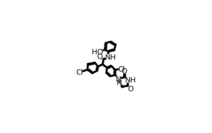 O=C(Nc1ccccc1O)C(c1ccc(Cl)cc1)c1ccc(-n2ncc(=O)[nH]c2=O)c(Cl)c1